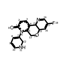 O=c1ccc2c(n1C1=CC=CNC1)COC1C=C(F)C=NC21